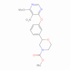 COc1ncnc(Oc2cccc(C3CN(C(=O)OC(C)(C)C)CCO3)c2)c1[N+](=O)[O-]